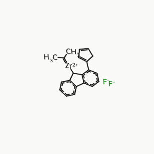 C[C](C)=[Zr+2][CH]1c2ccccc2-c2cccc(C3=CC=CC3)c21.[F-].[F-]